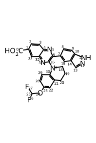 O=C(O)c1ccc2nc(-c3ccc4[nH]ncc4c3)c(N3CCCc4cc(OC(F)F)ccc43)nc2c1